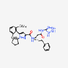 COc1cccc(OC)c1-c1cc(C(=O)N[C@@H](CCc2ccccc2)CC(=O)NC2=NNNN2)nn1C1CCCC1